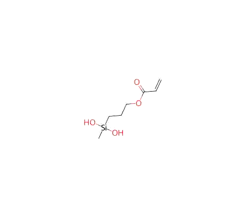 C=CC(=O)OCCC[Si](C)(O)O